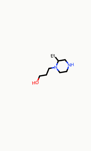 CCC1CNCCN1CCCO